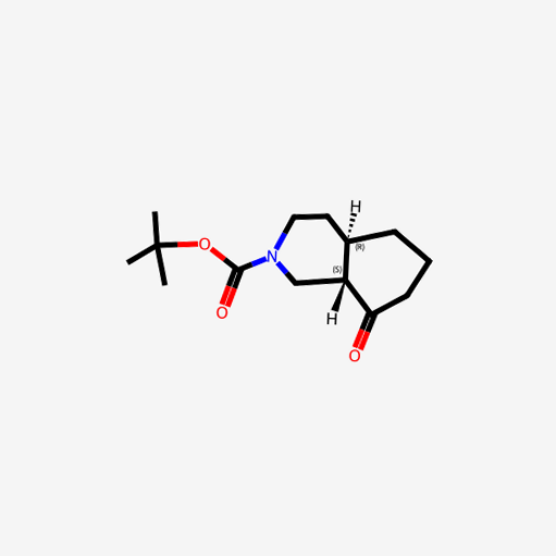 CC(C)(C)OC(=O)N1CC[C@H]2CCCC(=O)[C@@H]2C1